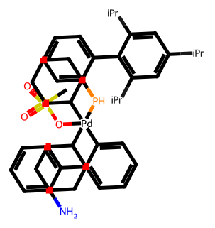 CC(C)c1cc(C(C)C)c(-c2ccccc2[PH][Pd]([O]S(C)(=O)=O)([c]2ccccc2-c2ccccc2N)([CH]2CCCCC2)[CH]2CCCCC2)c(C(C)C)c1